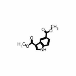 COC(=O)c1ccc2[nH]cc(C(=O)OC)c2c1